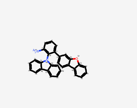 Nc1cccc(-c2ccc3c(c2)oc2ccccc23)c1-n1c2ccccc2c2ccccc21